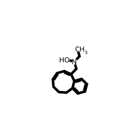 CCN(O)C/C1=C/C=C\CCCc2ccccc21